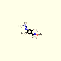 CCCON=C(C)c1cc(C)c(N=CN(C)CC)cc1C